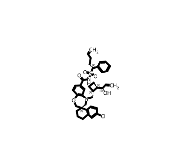 C=CCC[C@H](c1ccccc1)S(=O)(=O)NC(=O)c1ccc2c(c1)N(C[C@@H]1CC[C@H]1[C@@H](O)C=C)C[C@@]1(CCCc3cc(Cl)ccc31)CO2